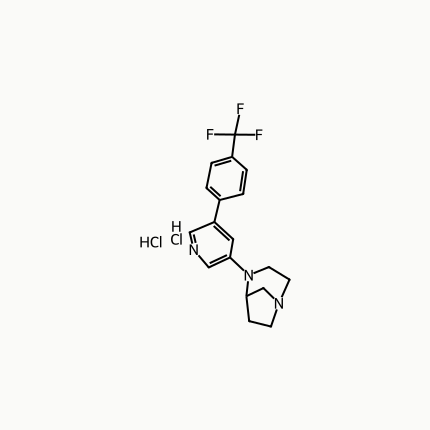 Cl.Cl.FC(F)(F)c1ccc(-c2cncc(N3CCN4CCC3C4)c2)cc1